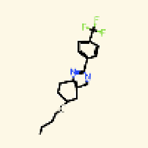 CCCCCC1CCc2nc(-c3ccc(C(F)(F)F)cc3)ncc2C1